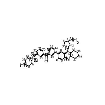 N[C@@H]1CCN(c2c3c(nc4ccc(-c5ccnc(Nc6cccc(S(=O)(=O)N7CCNCC7)c6)c5)cc24)CCCC3)C1